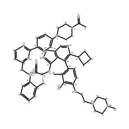 CC(=O)N1CCN(c2ccc(-c3nccc(COc4ccccc4C[C@@H](Oc4nsc5cnc(C6CCC6)c(-c6ccc(OCCN7CCN(C)CC7)c(Cl)c6C)c45)C(=O)O)n3)nc2)CC1